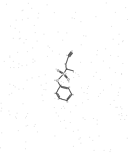 C#CCC(C)S(=O)(=O)Oc1ccccc1